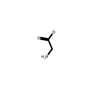 NCC([O])=O